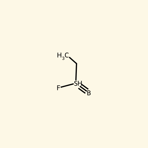 B#[SH](F)CC